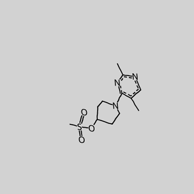 Cc1ncc(C)c(N2CCC(OS(C)(=O)=O)CC2)n1